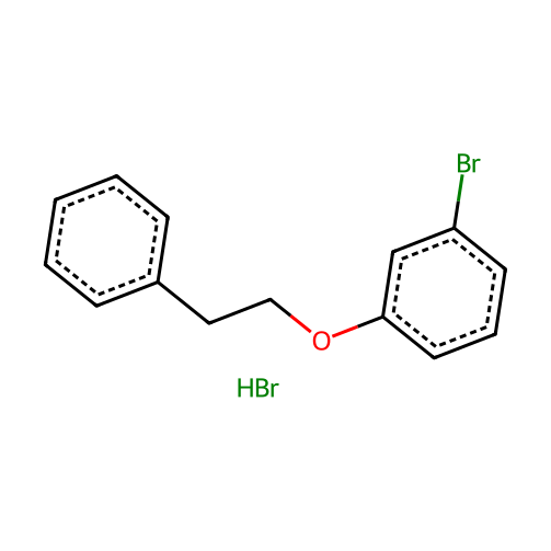 Br.Brc1cccc(OCCc2ccccc2)c1